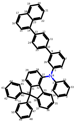 c1ccc(N(c2cccc(-c3ccc(-c4cccc5ccccc45)cc3)c2)c2cccc3c2-c2ccccc2C3(c2ccccc2)c2ccccc2)cc1